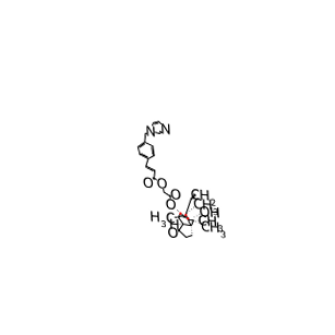 C=C[C@]1(C)C[C@@H](OC(=O)COC(=O)/C=C/c2ccc(Cn3ccnc3)cc2)[C@]2(C)CC[C@@H](C)[C@@]3(CCC(=O)[C@@H]23)[C@@H](C)[C@@H]1O